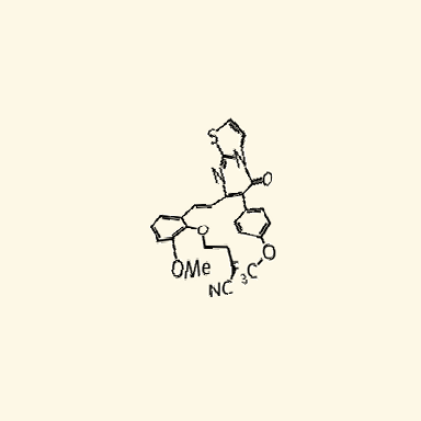 COc1cccc(C=Cc2nc3sccn3c(=O)c2-c2ccc(OC(F)(F)F)cc2)c1OCCCC#N